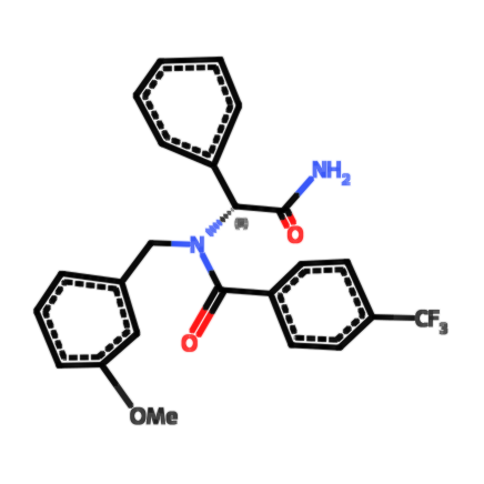 COc1cccc(CN(C(=O)c2ccc(C(F)(F)F)cc2)[C@@H](C(N)=O)c2ccccc2)c1